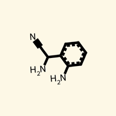 N#CC(N)c1ccccc1N